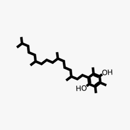 Cc1c(C)c(O)c(CCC(C)CCCC(C)CCCC(C)CCCC(C)C)c(C)c1O